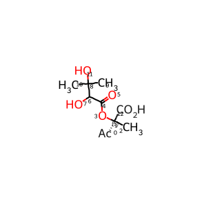 CC(=O)[C@](C)(OC(=O)C(O)C(C)(C)O)C(=O)O